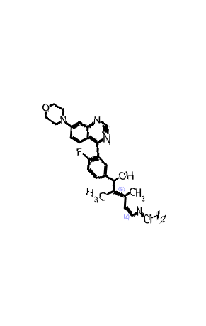 C=N/C=C\C(C)=C(/C)C(O)c1ccc(F)c(-c2ncnc3cc(N4CCOCC4)ccc23)c1